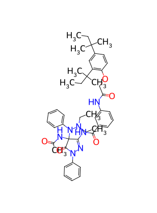 CCN(CC)N(c1ccccc1)C1(NC(C)=O)C(=O)N(c2ccccc2)N=C1NC(=O)c1cccc(NC(=O)COc2ccc(C(C)(C)CC)cc2C(C)(C)CC)c1